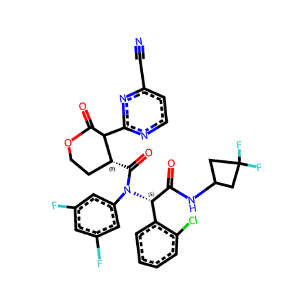 N#Cc1ccnc(C2C(=O)OCC[C@H]2C(=O)N(c2cc(F)cc(F)c2)[C@H](C(=O)NC2CC(F)(F)C2)c2ccccc2Cl)n1